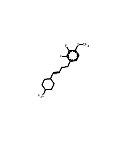 COc1ccc(CC/C=C/C2CCC(C)CC2)c(F)c1F